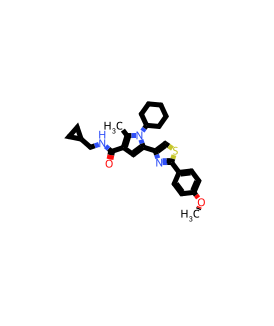 COc1ccc(-c2nc(-c3cc(C(=O)NCC4CC4)c(C)n3C3CCCCC3)cs2)cc1